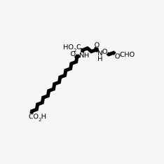 O=COCCONC(=O)CC[C@H](NC(=O)CCCCCCCCCCCCCCCCC(=O)O)C(=O)O